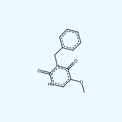 COc1c[nH]c(=O)n(Cc2ccccc2)c1=O